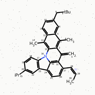 C=c1c2c(C)c3cc(CC(C)(C)C)ccc3c(C)c2n2c3ccc(C(C)C)cc3c3ccc(/C=C\C)c1c32